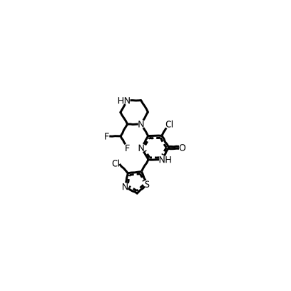 O=c1[nH]c(-c2scnc2Cl)nc(N2CCNCC2C(F)F)c1Cl